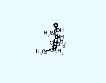 COCCCOc1cc(C(=O)N(C[C@@H]2CNC[C@H]2CN(C)C(=O)C[C@H](O)c2ccccc2)C(C)C)ccc1C